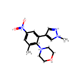 Cc1cc([N+](=O)[O-])cc(-c2cnn(C)c2)c1N1CCOCC1